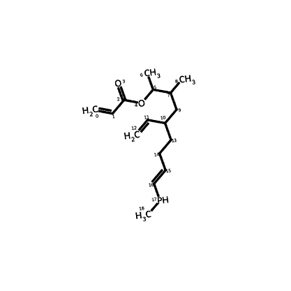 C=CC(=O)OC(C)C(C)CC(C=C)CC/C=C/PC